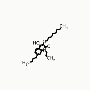 C=CCn1c(=O)c(OCCCCCCCC)c(O)c2ccc(CCCC)cc21